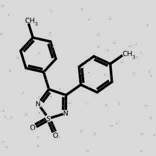 Cc1ccc(C2=NS(=O)(=O)N=C2c2ccc(C)cc2)cc1